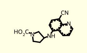 N#Cc1ccc(NC2CCN(C(=O)O)C2)c2cccnc12